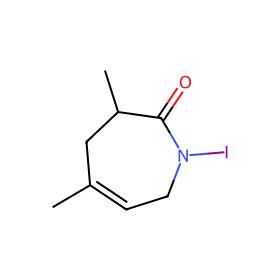 CC1=CCN(I)C(=O)C(C)C1